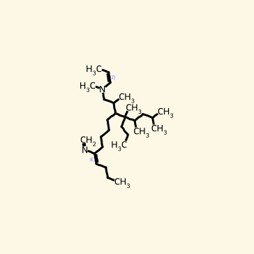 C=N/C(=C/CCC)CCCCC(C(C)CN(C)/C=C\C)C(C)(CCC)C(C)CC(C)C